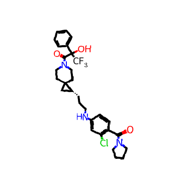 O=C(c1ccc(NCCC[C@@H]2CC23CCN(C(=O)C(O)(c2ccccc2)C(F)(F)F)CC3)cc1Cl)N1CCCC1